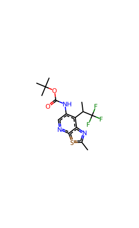 Cc1nc2c(C(C)C(F)(F)F)c(NC(=O)OC(C)(C)C)cnc2s1